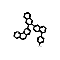 N#Cc1ccc(-c2cccc3cc(-c4cc5ccccc5cc4-c4ccc5ccc6cccnc6c5n4)ccc23)cc1